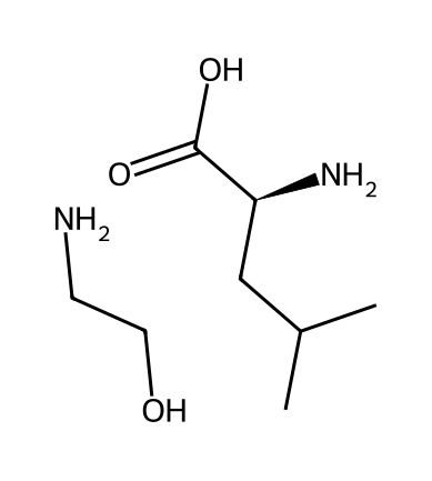 CC(C)C[C@H](N)C(=O)O.NCCO